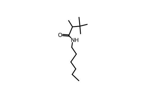 CCCCCCNC(=O)C(C)C(C)(C)C